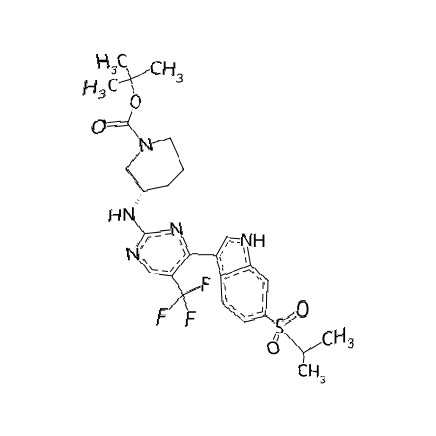 CC(C)S(=O)(=O)c1ccc2c(-c3nc(N[C@H]4CCCN(C(=O)OC(C)(C)C)C4)ncc3C(F)(F)F)c[nH]c2c1